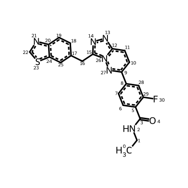 CCNC(=O)c1ccc(-c2ccc3nnc(Cc4ccc5ncsc5c4)n3n2)cc1F